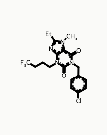 CCc1nc2c(c(=O)n(Cc3ccc(Cl)cc3)c(=O)n2CCCC(F)(F)F)n1C